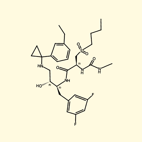 CCCCS(=O)(=O)C[C@@H](NC(=O)NC)C(=O)N[C@@H](Cc1cc(F)cc(F)c1)[C@H](O)CNC1(c2cccc(CC)c2)CC1